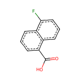 O=C(O)c1cccc2c(F)cccc12